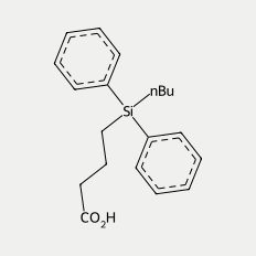 CCCC[Si](CCCC(=O)O)(c1ccccc1)c1ccccc1